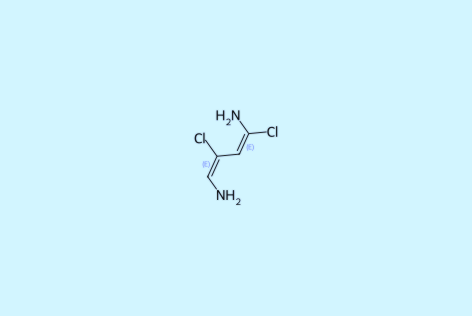 N/C=C(Cl)\C=C(/N)Cl